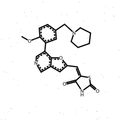 COc1ccc(CN2CCCCC2)cc1-c1cncc2cc(C=C3SC(=O)NC3=O)oc12